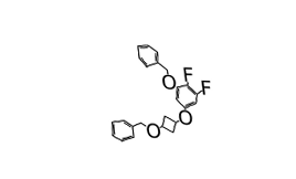 Fc1cc(OC2CC(OCc3ccccc3)C2)cc(OCc2ccccc2)c1F